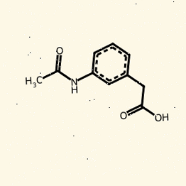 CC(=O)Nc1cccc(CC(=O)O)c1